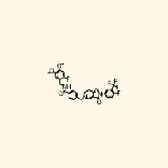 COc1cc(F)c(CNC(=O)c2ccc(CN3C=C4C(=O)N(c5ccc(F)c(C(F)(F)F)c5)N=C4CC3)cc2)cc1OC